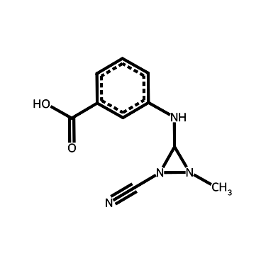 CN1C(Nc2cccc(C(=O)O)c2)N1C#N